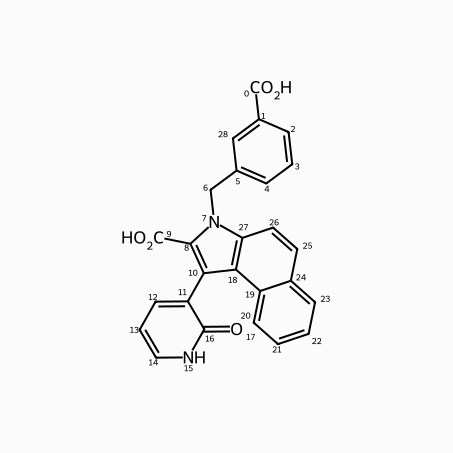 O=C(O)c1cccc(Cn2c(C(=O)O)c(-c3ccc[nH]c3=O)c3c4ccccc4ccc32)c1